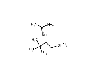 C[N+](C)(C)CCO.N=C(N)N.P